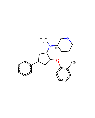 N#Cc1ccccc1OC1CC(c2ccccc2)CC1N(C(=O)O)[C@@H]1CCCNC1